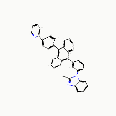 Cc1nc2ccccc2n1-c1cccc(-c2c3ccccc3c(-c3ccc(-c4ccccn4)cc3)c3ccccc23)c1